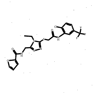 CCn1c(CNC(=O)c2ccco2)nnc1SCC(=O)Nc1cc(C(F)(F)F)ccc1Cl